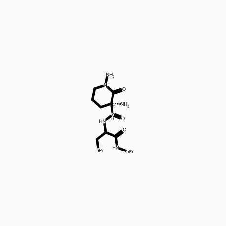 CCCNC(=O)C(CC(C)C)N[PH](=O)[C@@]1(N)CCCN(N)C1=O